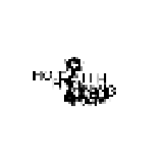 C[C@H](NC(=O)[C@]1(C)NC(=O)CCC1=O)C(=O)N1CCC[C@H]1C(=O)N[C@@H](Cc1ccccc1)C(=O)O